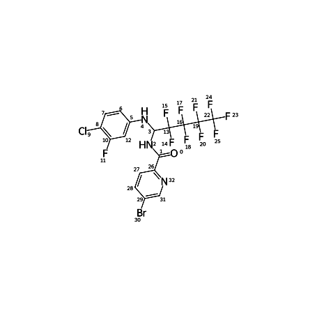 O=C(NC(Nc1ccc(Cl)c(F)c1)C(F)(F)C(F)(F)C(F)(F)C(F)(F)F)c1ccc(Br)cn1